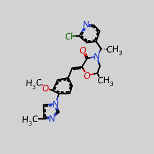 COc1cc(C=C2OC(C)CN([C@@H](C)c3ccnc(Cl)c3)C2=O)ccc1-n1cnc(C)c1